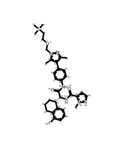 Cc1nn(COCCS(C)(C)C)c(C)c1-c1ccc(NC(=O)C(NC(=O)c2ccnn2C)[C@H]2CCCc3c(F)cccc32)cc1